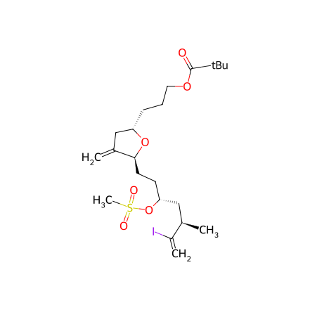 C=C(I)[C@H](C)C[C@@H](CC[C@@H]1O[C@@H](CCCOC(=O)C(C)(C)C)CC1=C)OS(C)(=O)=O